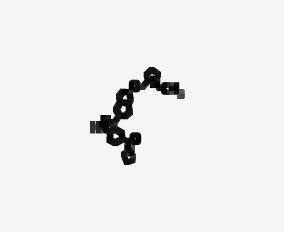 CCN1CCCC1COc1ccc2cc(-c3n[nH]c4ccc(C(=O)N5CCCC5)cc34)ccc2c1